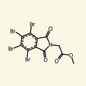 COC(=O)CN1C(=O)c2c(Br)c(Br)c(Br)c(Br)c2C1=O